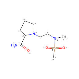 CCS(=O)(=O)N(C)CCN1CCCC1C(N)=O